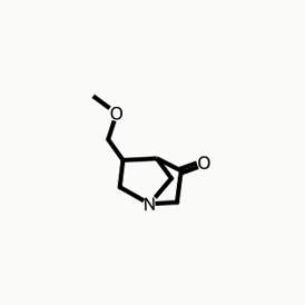 COCC1CN2CC(=O)C1C2